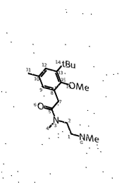 CNCCN(C)C(=O)Cc1cc(C)cc(C(C)(C)C)c1OC